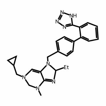 CCC1N=C2C(=CN(CC3CC3)CN2C)N1Cc1ccc(-c2ccccc2-c2nnn[nH]2)cc1